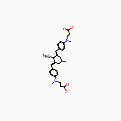 CC1C/C(=C\c2ccc(N(C)CCC(=O)[O-])cc2)C(=O)/C(=C/c2ccc(N(C)CCC(=O)[O-])cc2)C1.[Na+].[Na+]